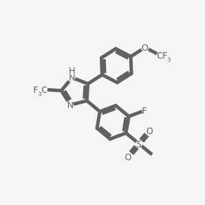 CS(=O)(=O)c1ccc(-c2nc(C(F)(F)F)[nH]c2-c2ccc(OC(F)(F)F)cc2)cc1F